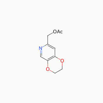 CC(=O)OCc1cc2c(cn1)OCCO2